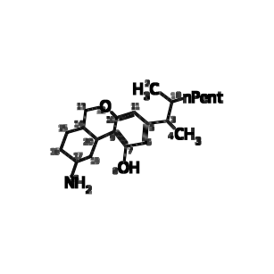 CCCCCC(C)C(C)c1cc(O)c2c(c1)OCC1CCC(N)CC21